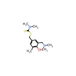 Cc1cc(CSC(=S)N(C)C)cc(CN(C)C)c1O